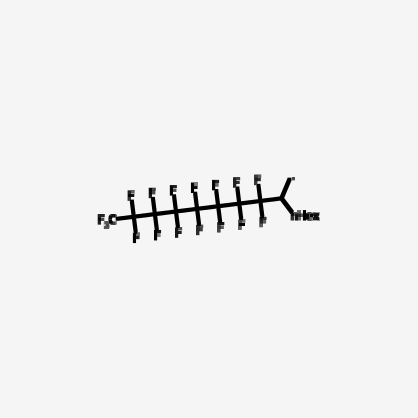 [CH2]C(CCCCCC)C(F)(F)C(F)(F)C(F)(F)C(F)(F)C(F)(F)C(F)(F)C(F)(F)C(F)(F)F